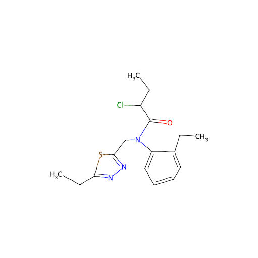 CCc1nnc(CN(C(=O)C(Cl)CC)c2ccccc2CC)s1